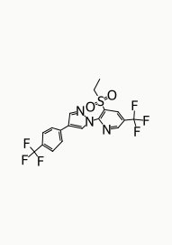 CCS(=O)(=O)c1cc(C(F)(F)F)cnc1-n1cc(-c2ccc(C(F)(F)F)cc2)cn1